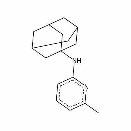 Cc1cccc(NC23CC4CC(CC(C4)C2)C3)n1